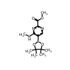 CNc1nc(C(=O)OC)ncc1B1OC(C)(C)C(C)(C)O1